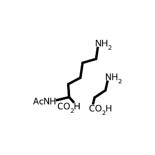 CC(=O)NC(CCCCN)C(=O)O.NCCC(=O)O